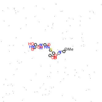 COc1cccc(CN2CCC(COC(=O)C(O)(c3ccccc3)c3cccc(-c4ccc(CNC(=O)c5ccc(CNCC(O)c6ccc(O)c7[nH]c(=O)ccc67)cc5)s4)c3)CC2)c1